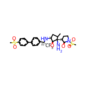 CC1C[C@H](N[C@@H](c2ccc(-c3ccc(S(C)(=O)=O)cc3)cc2)C(F)(F)F)C(=O)C1(N)[C@H]1CCN(S(C)(=O)=O)C1=O